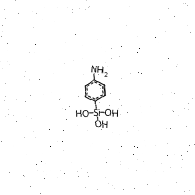 Nc1ccc([Si](O)(O)O)cc1